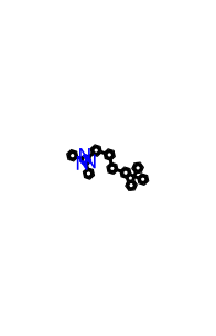 c1ccc(-c2nc(-c3ccccc3)nc(-c3cccc(-c4cccc(-c5cccc(-c6ccc7c(c6)-c6ccccc6C7(c6ccccc6)c6ccccc6)c5)c4)c3)n2)cc1